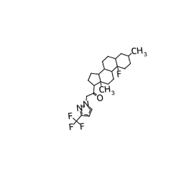 CC1CCC2(F)C(CCC3C4CCC(C(=O)Cn5ccc(C(F)(F)F)n5)C4(C)CCC32)C1